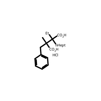 CCCCCCCC(CC)(C(=O)O)C(C)(Cc1ccccc1)C(=O)O.Cl